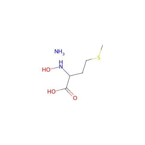 CSCCC(NO)C(=O)O.N